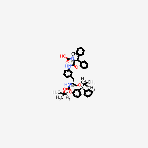 CN(C(=O)O)[C@H](C(=O)Nc1cccc(C[C@@H](CO[Si](c2ccccc2)(c2ccccc2)C(C)(C)C)NC(=O)OC(C)(C)C)c1)C(c1ccccc1)c1ccccc1